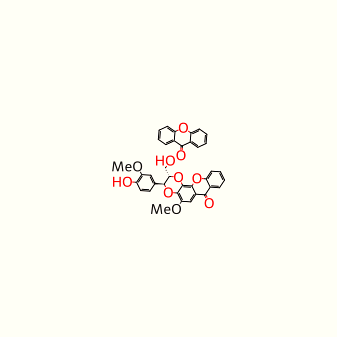 COc1cc([C@@H]2Oc3c(OC)cc4c(=O)c5ccccc5oc4c3O[C@H]2CO)ccc1O.O=c1c2ccccc2oc2ccccc12